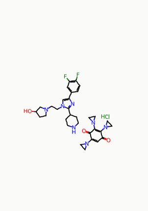 Cl.O=C1C=C(N2CC2)C(=O)C(N2CC2)=C1N1CC1.OC1CCN(CCn2cc(-c3ccc(F)c(F)c3)nc2C2CCNCC2)C1